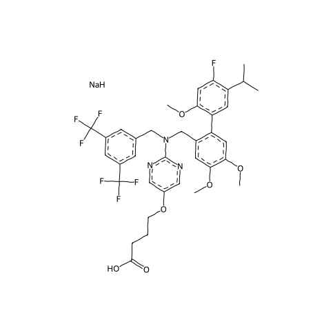 COc1cc(CN(Cc2cc(C(F)(F)F)cc(C(F)(F)F)c2)c2ncc(OCCCC(=O)O)cn2)c(-c2cc(C(C)C)c(F)cc2OC)cc1OC.[NaH]